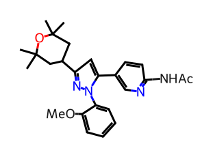 COc1ccccc1-n1nc(C2CC(C)(C)OC(C)(C)C2)cc1-c1ccc(NC(C)=O)nc1